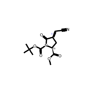 COC(=O)[C@@H]1C/C(=C\C#N)C(=O)N1C(=O)OC(C)(C)C